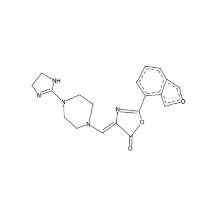 O=C1OC(c2cccc3cocc23)=NC1=CN1CCN(C2=NCCN2)CC1